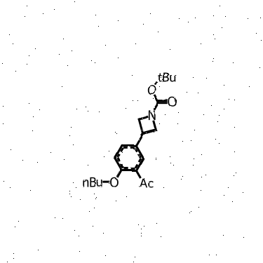 CCCCOc1ccc(C2CN(C(=O)OC(C)(C)C)C2)cc1C(C)=O